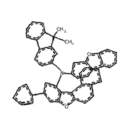 CC1(C)c2ccccc2-c2ccc(N(c3ccc4c(c3)oc3ccccc34)c3cc(-c4ccccc4)cc4oc5ccc6ccccc6c5c34)cc21